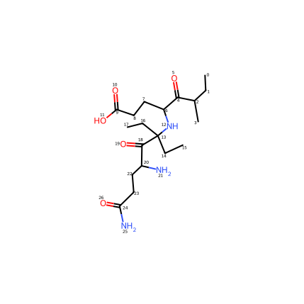 CCC(C)C(=O)C(CCC(=O)O)NC(CC)(CC)C(=O)C(N)CCC(N)=O